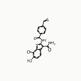 NC(=O)c1c(NC(=O)c2ccc(C=S)cc2)sc2c(Cl)c(O)ccc12